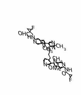 COc1nccc(CCCOc2nc(C)ncc2-c2cc3cc(NCC4(C=O)CC4F)ncc3n2C)c1-c1cc2cc(NC(=O)C3CC3F)ncc2n1C